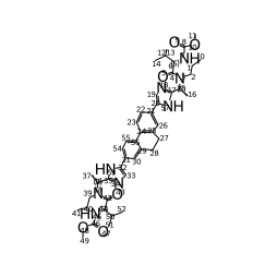 CCCN(C(=O)[C@@H](NC(=O)OC)C(C)C)[C@@H](C)c1ncc(-c2ccc3c(c2)CCc2cc(-c4cnc([C@H](C)N(CCC)C(=O)[C@@H](NC(=O)OC)C(C)C)[nH]4)ccc2-3)[nH]1